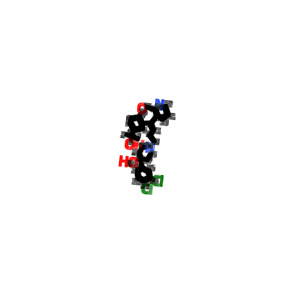 CC(C)(O)c1ccc2c(c1)C(=CCCN1CCC(O)(c3ccc(Cl)c(Cl)c3)CC1)c1cccnc1CO2